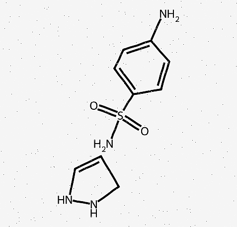 C1=CNNC1.Nc1ccc(S(N)(=O)=O)cc1